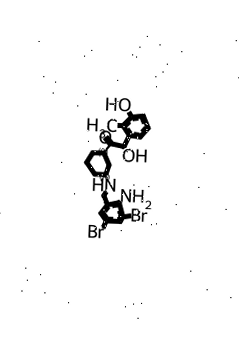 Cc1c(O)cccc1C(O)C(=O)[C@@H]1CCC[C@@H](NCc2cc(Br)cc(Br)c2N)C1